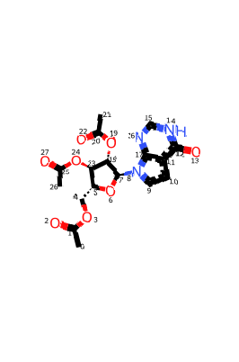 CC(=O)OC[C@H]1O[C@H](n2ccc3c(=O)[nH]cnc32)[C@@H](OC(C)=O)[C@@H]1OC(C)=O